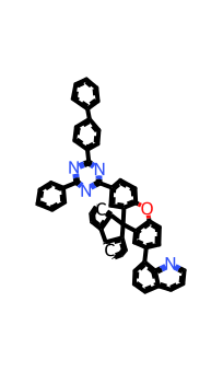 c1ccc(-c2ccc(-c3nc(-c4ccccc4)nc(-c4ccc5c(c4)C4(c6cc(-c7cccc8cccnc78)ccc6O5)c5ccccc5-c5ccccc54)n3)cc2)cc1